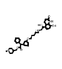 CN1CCC(COC(=O)C(c2ccccc2)c2cccc(OCCCCCNC[C@H](O)c3ccc(O)c4[nH]c(=O)ccc34)c2)CC1